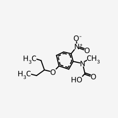 CCC(CC)Oc1ccc([N+](=O)[O-])c(N(C)C(=O)O)c1